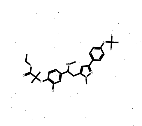 CCOC(=O)C(C)(C)Oc1ccc(C(Cc2cc(-c3ccc(OC(F)(F)F)cc3)nn2C)NC)cc1Cl